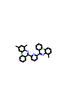 Cc1cc(C)c(/N=C(\c2ccccc2)c2cccc(/C(=N/c3c(C)cccc3Cl)c3ccccc3)n2)c(Cl)c1